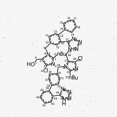 CCCCc1nc(Cl)c(CO)n1Cc1ccc(-c2ccccc2)c(-c2nnnn2Cc2c(Cl)nc(CCCC)n2Cc2ccc(-c3ccccc3-c3nnn[nH]3)cc2)c1